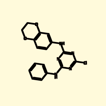 Clc1nc(Nc2ccccc2)nc(Nc2ccc3c(c2)OCCO3)n1